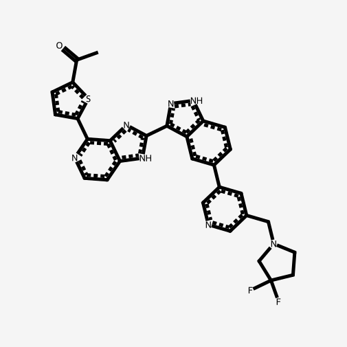 CC(=O)c1ccc(-c2nccc3[nH]c(-c4n[nH]c5ccc(-c6cncc(CN7CCC(F)(F)C7)c6)cc45)nc23)s1